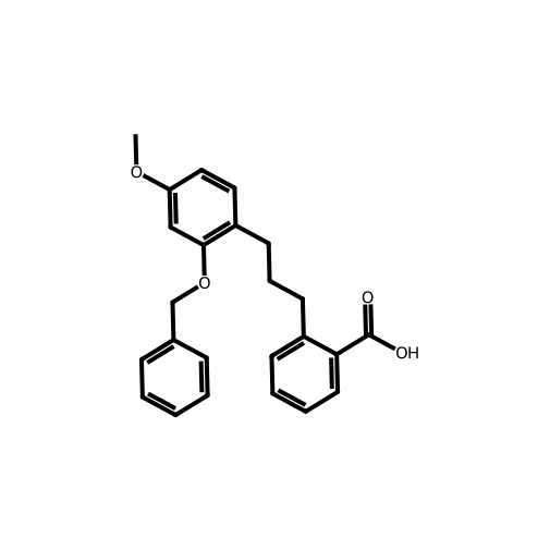 COc1ccc(CCCc2ccccc2C(=O)O)c(OCc2ccccc2)c1